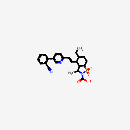 CCC1CCC2C(C1/C=C/c1ccc(-c3ccccc3C#N)cn1)C(C)N(C(=O)O)S2(=O)=O